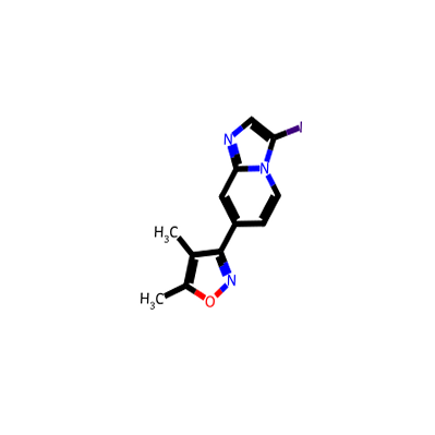 Cc1onc(-c2ccn3c(I)cnc3c2)c1C